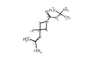 CC(C)CC1(F)CN(C(=O)OC(C)(C)C)C1